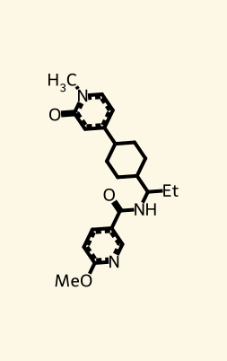 CCC(NC(=O)c1ccc(OC)nc1)C1CCC(c2ccn(C)c(=O)c2)CC1